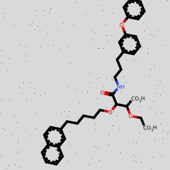 O=C(O)COC(C(=O)O)C(OCCCCCc1ccc2ccccc2c1)C(=O)NCCCc1cccc(Oc2ccccc2)c1